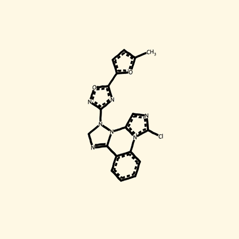 Cc1ccc(-c2nc(N3CN=C4c5ccccc5-n5c(cnc5Cl)N43)no2)o1